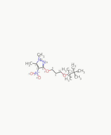 Cc1c([N+](=O)[O-])c(OCCCO[Si](C)(C)C(C)(C)C)nn1C